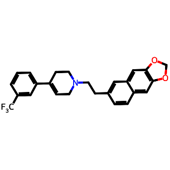 FC(F)(F)c1cccc(C2=CCN(CCc3ccc4cc5c(cc4c3)OCO5)CC2)c1